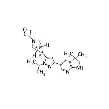 CC(C)n1nc(-c2cnc3c(c2)C(C)(C)CN3)cc1[C@H]1[C@@H]2CN(C3COC3)C[C@@H]21